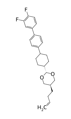 C=CCC[C@H]1CO[C@H](C2CCC(c3ccc(-c4ccc(F)c(F)c4)cc3)CC2)OC1